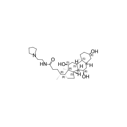 C[C@H](CCC(=O)NCCN1CCCC1)[C@H]1CC[C@H]2[C@@H]3[C@H](O)C[C@@H]4C[C@H](O)CC[C@]4(C)[C@H]3C[C@H](O)[C@]12C